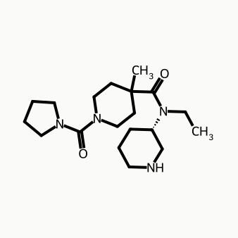 CCN(C(=O)C1(C)CCN(C(=O)N2CCCC2)CC1)[C@H]1CCCNC1